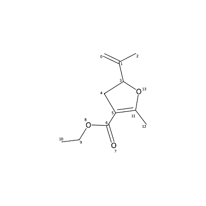 C=C(C)C1CC(C(=O)OCC)=C(C)O1